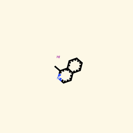 Cc1nccc2ccccc12.I